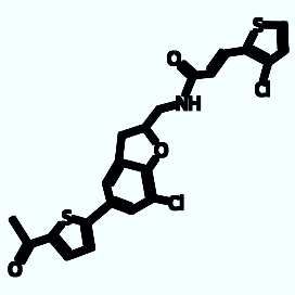 CC(=O)c1ccc(-c2cc(Cl)c3c(c2)CC(CNC(=O)/C=C/c2sccc2Cl)O3)s1